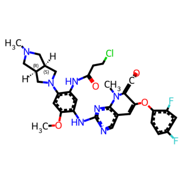 COc1cc(N2C[C@H]3CN(C)C[C@H]3C2)c(NC(=O)CCCl)cc1Nc1ncc2c(n1)N(C)C(=C=O)C(Oc1ccc(F)cc1F)=C2